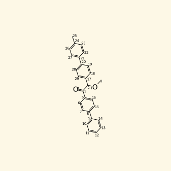 COC(C(=O)c1ccc(-c2ccccc2)cc1)c1ccc(-c2ccc(C)cc2)cc1